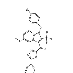 COc1ccc2c(c1)c(C(=O)c1nnc(-c3ccccn3)o1)c(C(F)(F)F)n2Cc1ccc(Cl)cc1